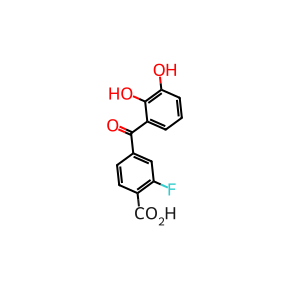 O=C(O)c1ccc(C(=O)c2cccc(O)c2O)cc1F